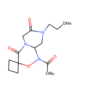 COCCN1CC2N(CC1=O)C(=O)C1(CCC1)ON2C(=O)OCC(C)C